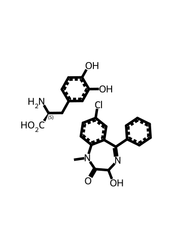 CN1C(=O)C(O)N=C(c2ccccc2)c2cc(Cl)ccc21.N[C@@H](Cc1ccc(O)c(O)c1)C(=O)O